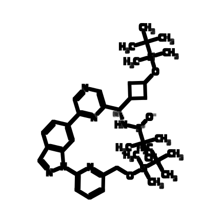 CC(C)(C)[S+]([O-])N[C@H](c1cncc(-c2ccc3cnn(-c4cccc(CO[Si](C)(C)C(C)(C)C)n4)c3c2)n1)C1CC(O[Si](C)(C)C(C)(C)C)C1